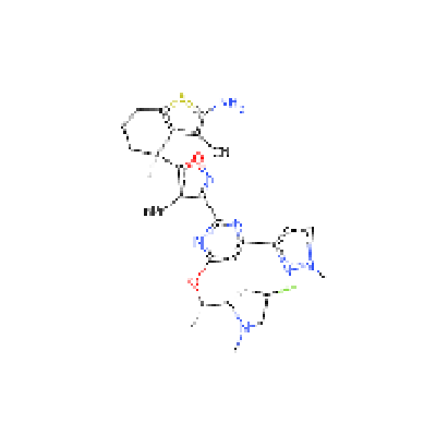 CCCc1c(-c2nc(O[C@@H](C)[C@@H]3C[C@@H](F)CN3C)cc(-c3ccn(C)n3)n2)noc1[C@@]1(C)CCCc2sc(N)c(C#N)c21